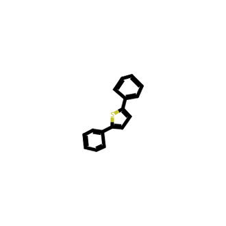 [c]1cc(-c2ccccc2)sc1-c1ccccc1